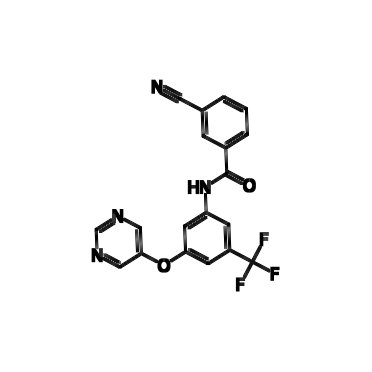 N#Cc1cccc(C(=O)Nc2cc(Oc3cncnc3)cc(C(F)(F)F)c2)c1